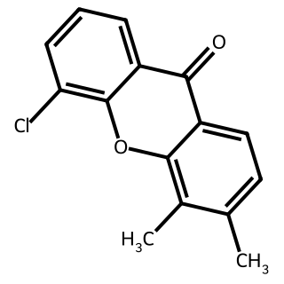 Cc1ccc2c(=O)c3cccc(Cl)c3oc2c1C